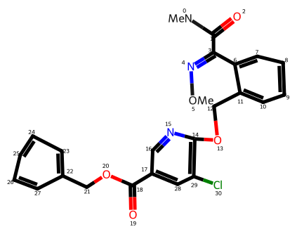 CNC(=O)/C(=N/OC)c1ccccc1COc1ncc(C(=O)OCc2ccccc2)cc1Cl